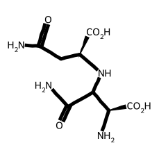 NC(=O)C[C@H](NC(C(N)=O)[C@H](N)C(=O)O)C(=O)O